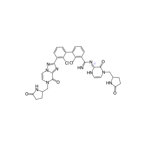 N=C(/N=c1\[nH]ccn(CC2CCC(=O)N2)c1=O)c1cccc(-c2cccc(-c3nc4c(=O)n(CC5CCC(=O)N5)ccn4n3)c2Cl)c1Cl